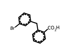 O=C(O)c1ccccc1Cc1cccc(Br)c1